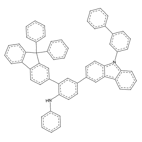 c1ccc(Nc2ccc(-c3ccc4c(c3)c3ccccc3n4-c3cccc(-c4ccccc4)c3)cc2-c2ccc3c(c2)C(c2ccccc2)(c2ccccc2)c2ccccc2-3)cc1